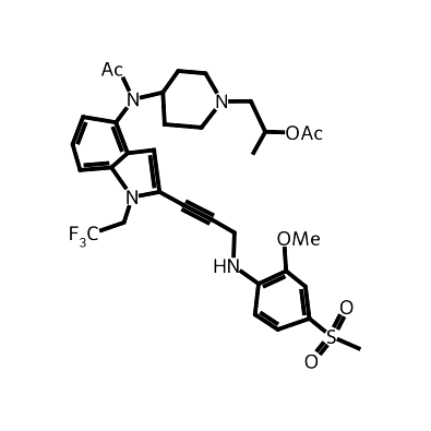 COc1cc(S(C)(=O)=O)ccc1NCC#Cc1cc2c(N(C(C)=O)C3CCN(CC(C)OC(C)=O)CC3)cccc2n1CC(F)(F)F